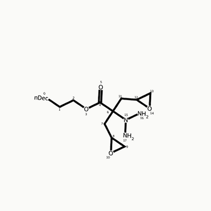 CCCCCCCCCCCCOC(=O)C(CC1CO1)(CC1CO1)N(N)N